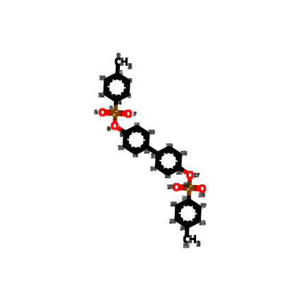 Cc1ccc(S(=O)(=O)Oc2ccc(-c3ccc(OS(=O)(=O)c4ccc(C)cc4)cc3)cc2)cc1